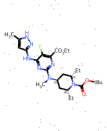 CCOC(=O)c1nc(N(C)[C@@H]2C[C@@H](CC)N(C(=O)OC(C)(C)C)[C@@H](CC)C2)nc(Nc2cc(C)[nH]n2)c1F